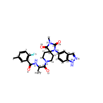 Cc1ccc(F)c(C(=O)NC(C(=O)N2CCC3(CC2)C(=O)N(C)C(=O)N3c2ccc3[nH]ncc3c2)C(C)C)c1